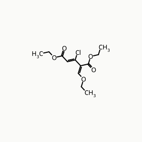 CCO/C=C(C(=O)OCC)/C(Cl)=C/C(=O)OCC